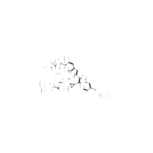 CC(C)OC(=O)c1ccn2c(C3CC3)c(-c3cc4ccc([C@@H](C)N[S+]([O-])C(C)(C)C)nc4n3COCC[Si](C)(C)C)nc2c1